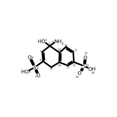 NC1(O)C=C(S(=O)(=O)O)Cc2cc(S(=O)(=O)O)ccc21